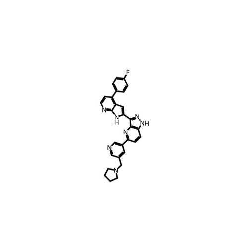 Fc1ccc(-c2ccnc3[nH]c(-c4n[nH]c5ccc(-c6cncc(CN7CCCC7)c6)nc45)cc23)cc1